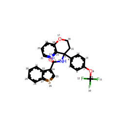 O=C(NC1(c2ccc(OC(F)(F)F)cc2)CCOc2cccnc21)c1csc2ccccc12